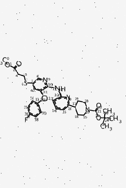 COC(=O)CCSc1cnc(Nc2cccc(C3CCN(C(=O)OC(C)(C)C)CC3)n2)c(Oc2ccc(F)cc2)c1